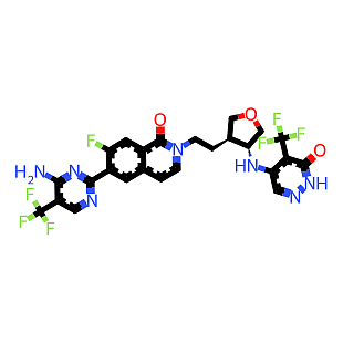 Nc1nc(-c2cc3ccn(CC[C@H]4COC[C@@H]4Nc4cn[nH]c(=O)c4C(F)(F)F)c(=O)c3cc2F)ncc1C(F)(F)F